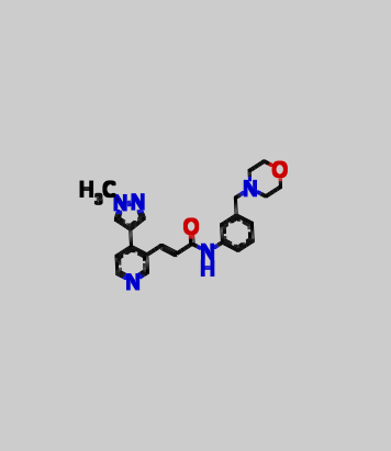 Cn1cc(-c2ccncc2/C=C/C(=O)Nc2cccc(CN3CCOCC3)c2)cn1